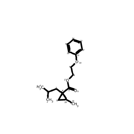 CC(C)CC1(C(=O)OCCOc2ccccc2)CC1C